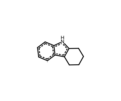 [c]1cccc2[nH]c3c(c12)CCCC3